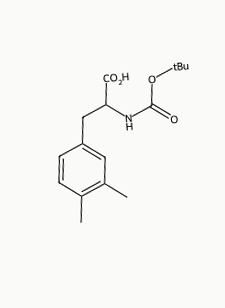 Cc1ccc(CC(NC(=O)OC(C)(C)C)C(=O)O)cc1C